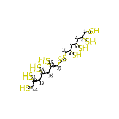 SCC(S)CC(S)CC(S)CSSCC(S)CC(S)CC(S)CS